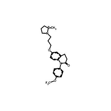 C[C@@H]1CCCN1CCCOc1ccc2c(c1)CCC(=O)N2c1ccc(OC(F)(F)F)cc1